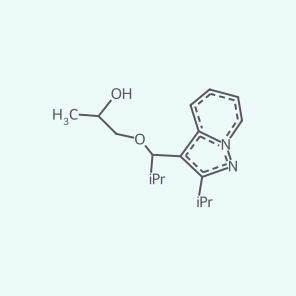 CC(O)COC(c1c(C(C)C)nn2ccccc12)C(C)C